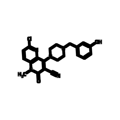 Cn1c(=O)c(C#N)c(N2CCN(Cc3cccc(O)c3)CC2)c2nc(Cl)ccc21